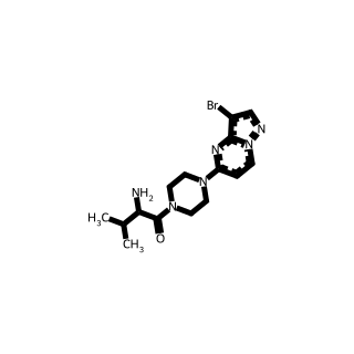 CC(C)C(N)C(=O)N1CCN(c2ccn3ncc(Br)c3n2)CC1